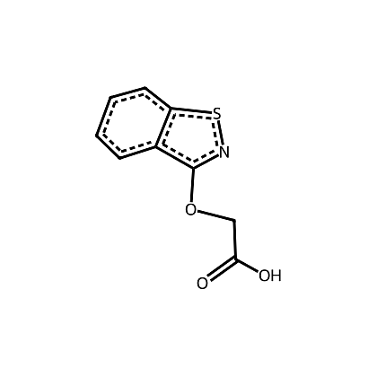 O=C(O)COc1nsc2ccccc12